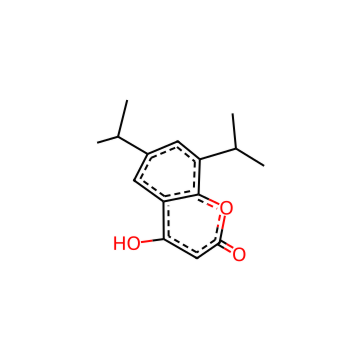 CC(C)c1cc(C(C)C)c2oc(=O)cc(O)c2c1